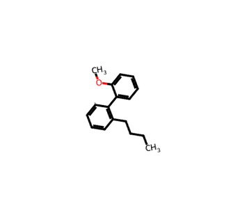 CCCCc1ccc[c]c1-c1ccccc1OC